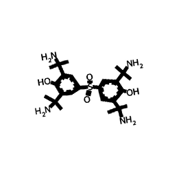 CC(C)(N)c1cc(S(=O)(=O)c2cc(C(C)(C)N)c(O)c(C(C)(C)N)c2)cc(C(C)(C)N)c1O